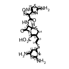 CON=C(C(=O)N[C@@H]1C(=O)N2C(C(=O)O)=C(C=CSc3cc(N)nc(N)n3)CS[C@H]12)c1csc(N)n1